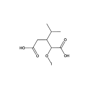 CC(C)C(CC(=O)O)C(OI)C(=O)O